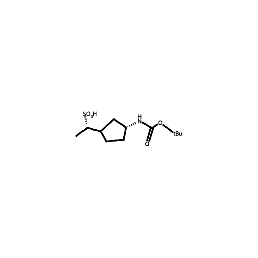 C[C@@H](C1CC[C@@H](NC(=O)OC(C)(C)C)C1)S(=O)(=O)O